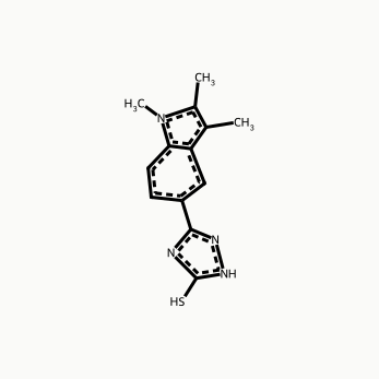 Cc1c(C)n(C)c2ccc(-c3n[nH]c(S)n3)cc12